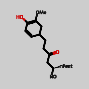 CCCCC[C@@H](CC(=O)CCC1C=CC(O)=C(OC)C1)N=O